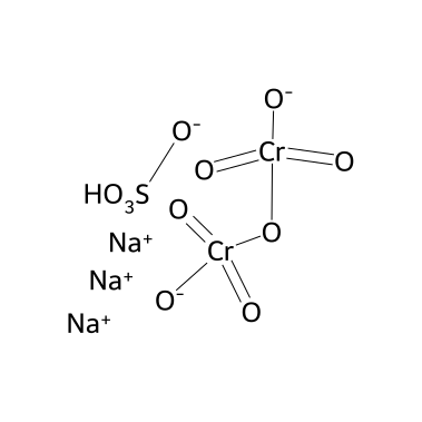 O=S(=O)([O-])O.[Na+].[Na+].[Na+].[O]=[Cr](=[O])([O-])[O][Cr](=[O])(=[O])[O-]